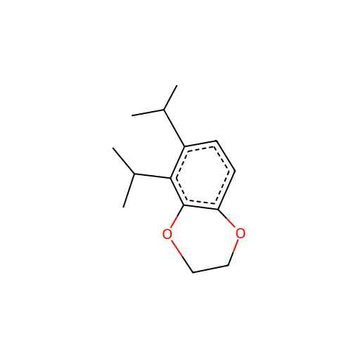 CC(C)c1ccc2c(c1C(C)C)OCCO2